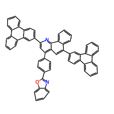 c1ccc2oc(-c3ccc(-c4cc(-c5ccc6c7ccccc7c7ccccc7c6c5)nc5c4cc(-c4ccc6c7ccccc7c7ccccc7c6c4)c4ccccc45)cc3)nc2c1